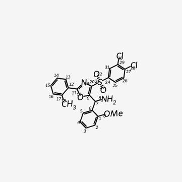 COc1ccccc1C(N)c1oc(-c2ccccc2C)nc1S(=O)(=O)c1ccc(Cl)c(Cl)c1